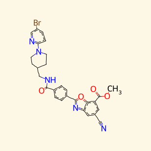 COC(=O)c1cc(C#N)cc2nc(-c3ccc(C(=O)NCC4CCN(c5ccc(Br)cn5)CC4)cc3)oc12